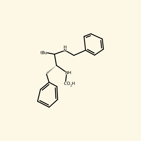 CC(C)(C)C(NCc1ccccc1)[C@@H](Cc1ccccc1)NC(=O)O